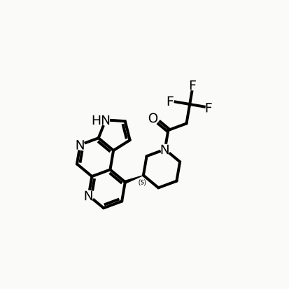 O=C(CC(F)(F)F)N1CCC[C@@H](c2ccnc3cnc4[nH]ccc4c23)C1